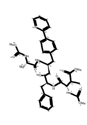 COC(=O)N[C@H](C(=O)N[C@@H](Cc1ccccc1)[C@@H](O)C[C@H](Cc1ccc(-c2ccccn2)cc1)NC(=O)[C@@H](NC(=O)OC)C(C)(C)C)C(C)C(=O)OC